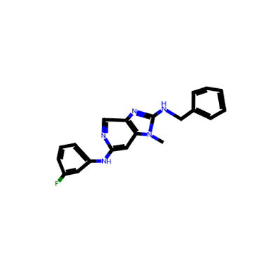 Cn1c(NCc2ccccc2)nc2cnc(Nc3cccc(F)c3)cc21